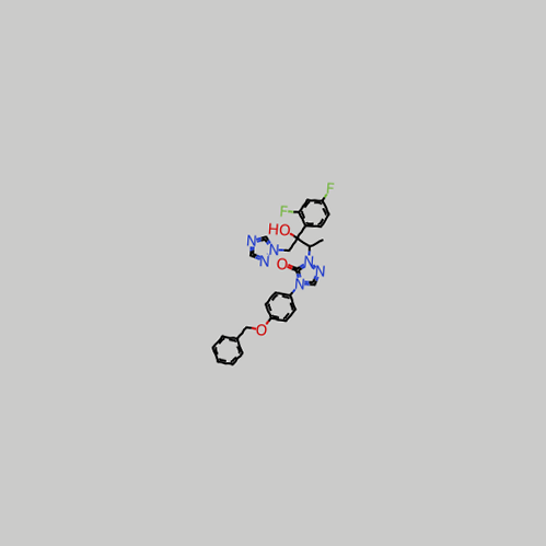 CC(n1ncn(-c2ccc(OCc3ccccc3)cc2)c1=O)C(O)(Cn1cncn1)c1ccc(F)cc1F